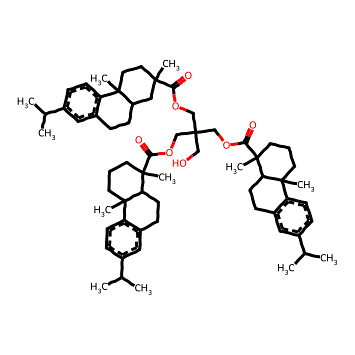 CC(C)c1ccc2c(c1)CCC1CC(C)(C(=O)OCC(CO)(COC(=O)C3(C)CCCC4(C)c5ccc(C(C)C)cc5CCC34)COC(=O)C3(C)CCCC4(C)c5ccc(C(C)C)cc5CCC34)CCC21C